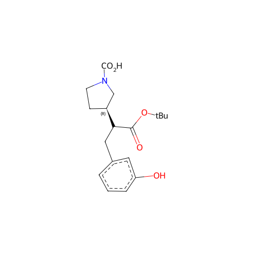 CC(C)(C)OC(=O)C(Cc1cccc(O)c1)[C@H]1CCN(C(=O)O)C1